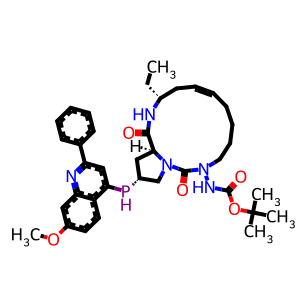 CC[C@@H]1C/C=C\CCCCN(NC(=O)OC(C)(C)C)C(=O)N2C[C@H](Pc3cc(-c4ccccc4)nc4cc(OC)ccc34)C[C@H]2C(=O)N1